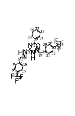 O=C(N=C(N/N=C/c1ccc(C(F)(F)F)cc1)N/N=C/c1ccc(C(F)(F)F)cc1)c1ccccc1